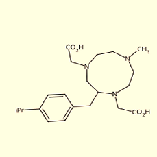 CC(C)c1ccc(CC2CN(CC(=O)O)CCN(C)CCN2CC(=O)O)cc1